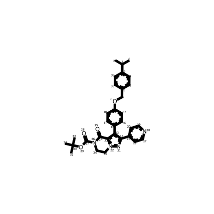 CC(C)c1ccc(COc2ccc(-c3c(-c4ccncc4)nn4c3C(=O)N(C(=O)OC(C)(C)C)CC4)cc2)cc1